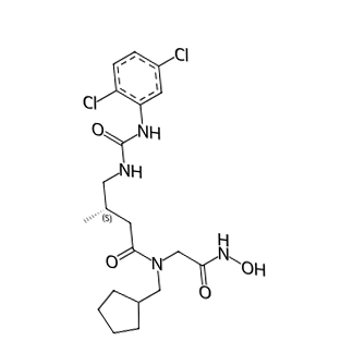 C[C@H](CNC(=O)Nc1cc(Cl)ccc1Cl)CC(=O)N(CC(=O)NO)CC1CCCC1